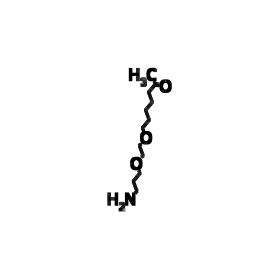 CC(=O)CCCCCOCCOCCCN